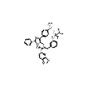 CCCCn1c(-c2ccccc2)nc(-c2ccc(OC(F)(F)F)cc2)c1CN(Cc1cccc(OC(F)(F)C(F)F)c1)Cc1ccc2c(c1)OCO2